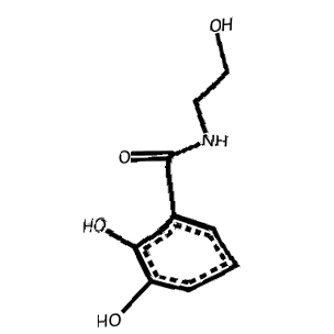 O=C(NCCO)c1cccc(O)c1O